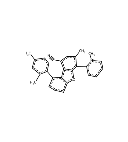 Cc1ccc(-c2cccc3oc4c(-c5cccc[n+]5C)c(C)cc(C#N)c4c23)c(C)c1